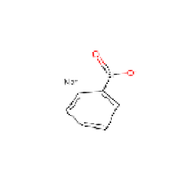 O=[Si]([O-])c1ccccc1.[Na+]